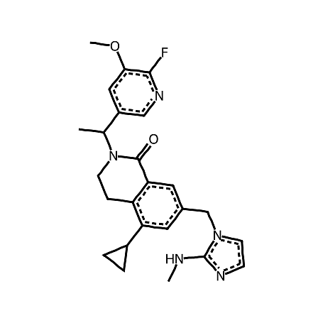 CNc1nccn1Cc1cc2c(c(C3CC3)c1)CCN(C(C)c1cnc(F)c(OC)c1)C2=O